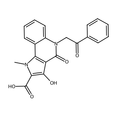 Cn1c(C(=O)O)c(O)c2c(=O)n(CC(=O)c3ccccc3)c3ccccc3c21